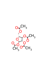 CC(=O)OC[C@H]1OC(OC(C)=O)[C@@H](OC(C)=O)C1OC(C)=O